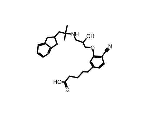 CC(C)(CC1Cc2ccccc2C1)NCC(O)COc1cc(CCCCC(=O)O)ccc1C#N